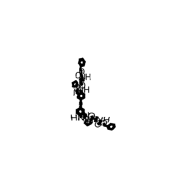 CC(C)(NC(=O)OCc1ccccc1)C(=O)N1CCC[C@H]1c1nc2cc(C#Cc3ccc4[nH]c([C@@H]5CCCN5C(=O)C(C)(C)NC(=O)OCc5ccccc5)nc4c3)ccc2[nH]1